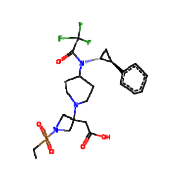 CCS(=O)(=O)N1CC(CC(=O)O)(N2CCC(N(C(=O)C(F)(F)F)[C@@H]3C[C@H]3c3ccccc3)CC2)C1